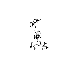 O=C(O)CCc1nc(-c2cc(C(F)(F)F)cc(C(F)(F)F)c2)no1